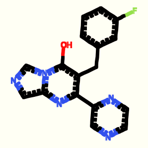 Oc1c(Cc2cccc(F)c2)c(-c2cnccn2)nc2cncn12